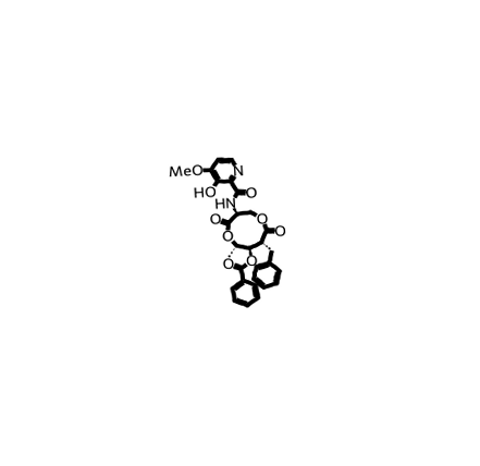 COc1ccnc(C(=O)N[C@H]2COC(=O)[C@H](Cc3ccccc3)[C@@H](OC(=O)c3ccccc3)[C@H](C)OC2=O)c1O